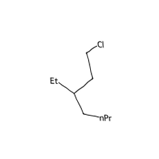 CCCCC(CC)CCCl